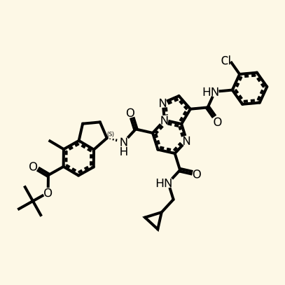 Cc1c(C(=O)OC(C)(C)C)ccc2c1CC[C@@H]2NC(=O)c1cc(C(=O)NCC2CC2)nc2c(C(=O)Nc3ccccc3Cl)cnn12